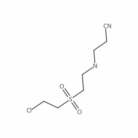 N#CCC[N]CCS(=O)(=O)CCCl